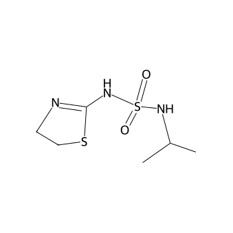 CC(C)NS(=O)(=O)NC1=NCCS1